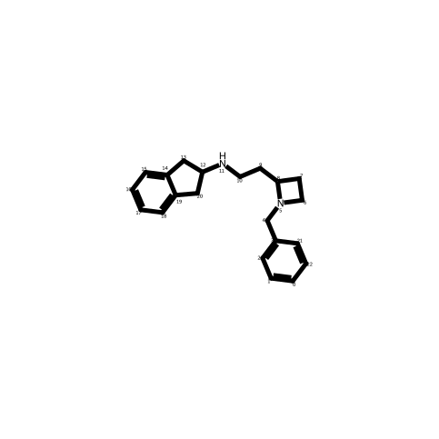 c1ccc(CN2CCC2CCNC2Cc3ccccc3C2)cc1